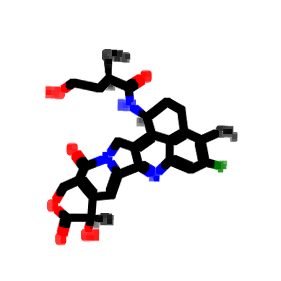 CC[C@@]1(O)C(=O)OCc2c1cc1n(c2=O)Cc2c-1nc1cc(F)c(C)c3c1c2[C@@H](NC(=O)[C@@H](CCO)OC)CC3